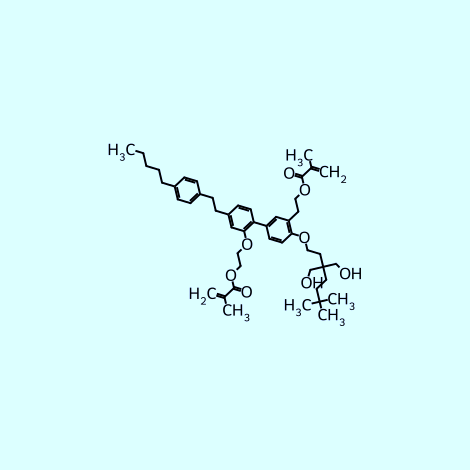 C=C(C)C(=O)OCCOc1cc(CCc2ccc(CCCCC)cc2)ccc1-c1ccc(OCCC(CO)(CO)CCC(C)(C)C)c(CCOC(=O)C(=C)C)c1